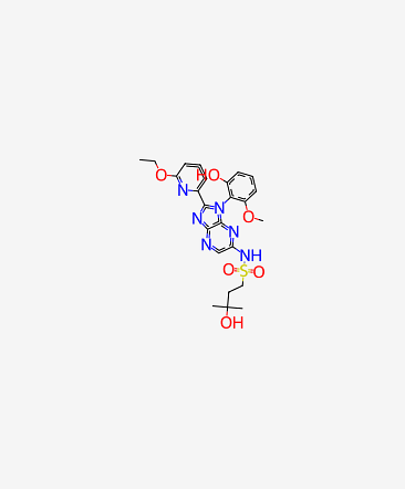 CCOC1=NC(c2nc3ncc(NS(=O)(=O)CCC(C)(C)O)nc3n2-c2c(O)cccc2OC)=C=C=C1